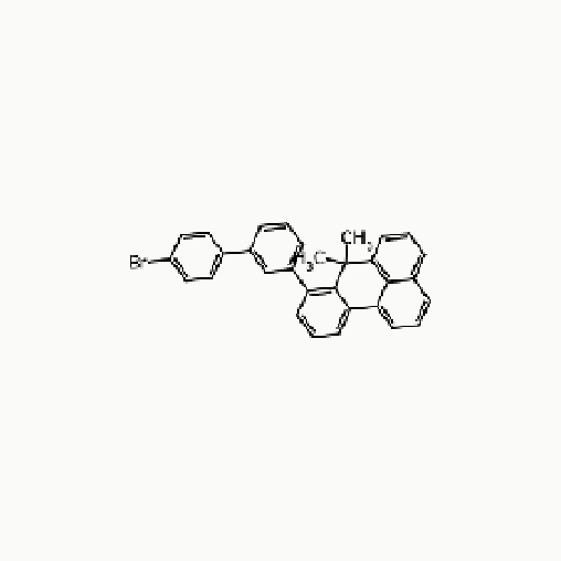 CC1(C)c2c(-c3cccc(-c4ccc(Br)cc4)c3)cccc2-c2cccc3cccc1c23